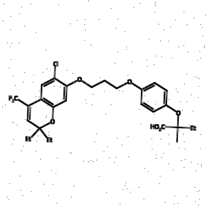 CCC1(CC)C=C(C(F)(F)F)c2cc(Cl)c(OCCCOc3ccc(OC(C)(CC)C(=O)O)cc3)cc2O1